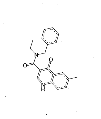 CCN(Cc1ccccc1)C(=O)c1c[nH]c2ccc(C)cc2c1=O